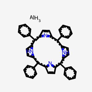 C1=Cc2nc1c(-c1ccccc1)c1ccc([nH]1)c(-c1ccccc1)c1nc(c(-c3ccccc3)c3ccc([nH]3)c2-c2ccccc2)C=C1.[AlH3]